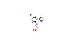 OCCOc1ccc(Br)cc1-c1cscn1